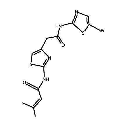 CC(C)=CC(=O)Nc1nc(CC(=O)Nc2ncc(C(C)C)s2)cs1